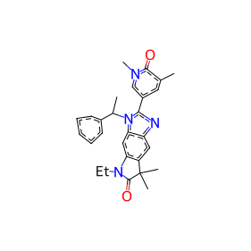 CCN1C(=O)C(C)(C)c2cc3nc(-c4cc(C)c(=O)n(C)c4)n(C(C)c4ccccc4)c3cc21